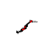 C=C(F)C(=O)OCCOc1ccc(C(=O)Oc2ccc3c(c2)C(C)c2cc(OCCCCOC(=O)C(=C)COC)ccc2-3)cc1